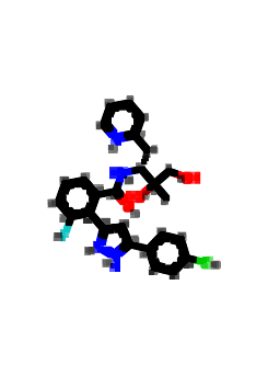 CC(O)(CO)[C@@H](Cc1ccccn1)NC(=O)c1cccc(F)c1-c1cc(-c2ccc(Cl)cc2)[nH]n1